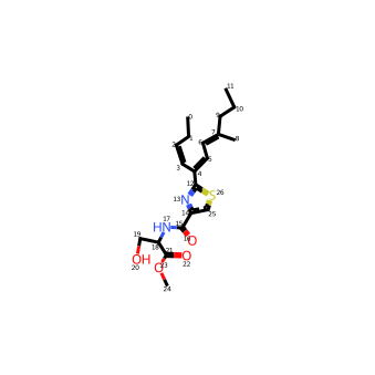 CC\C=C/C(=C\C=C(/C)CCC)c1nc(C(=O)NC(CO)C(=O)OC)cs1